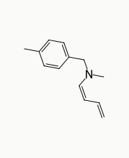 C=C/C=C\N(C)Cc1ccc(C)cc1